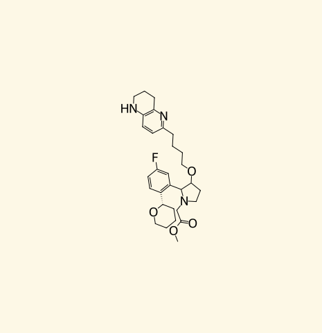 COC(=O)CN1CCC(OCCCCc2ccc3c(n2)CCCN3)C1c1cc(F)ccc1[C@@H]1CCCCO1